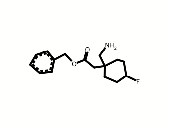 NCC1(CC(=O)OCc2ccccc2)CCC(F)CC1